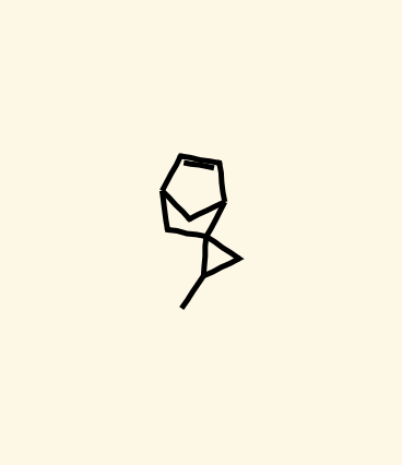 CC1CC12CC1C=CC2C1